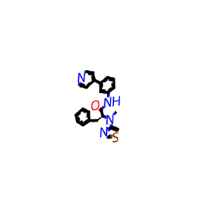 CN(c1cscn1)[C@@H](Cc1ccccc1)C(=O)Nc1cccc(-c2ccncc2)c1